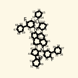 Fc1ccc(N(c2ccccc2Oc2ccccc2)c2ccc3ccc4c(N(c5ccc(F)c(-c6ccccc6)c5)c5cccc6c5oc5ccccc56)ccc5ccc2c3c54)cc1-c1ccccc1